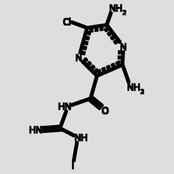 N=C(NI)NC(=O)c1nc(Cl)c(N)nc1N